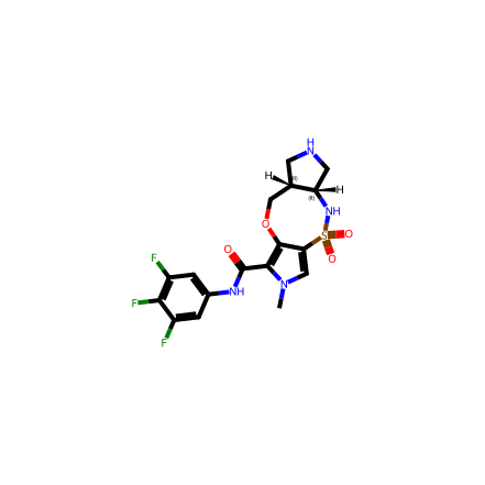 Cn1cc2c(c1C(=O)Nc1cc(F)c(F)c(F)c1)OC[C@@H]1CNC[C@@H]1NS2(=O)=O